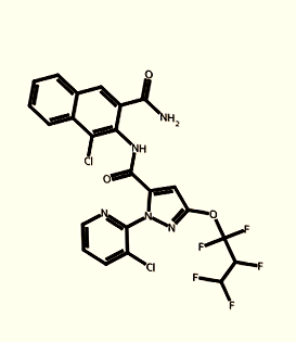 NC(=O)c1cc2ccccc2c(Cl)c1NC(=O)c1cc(OC(F)(F)C(F)C(F)F)nn1-c1ncccc1Cl